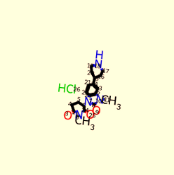 CN1C(=O)CCC(n2c(=O)n(C)c3cc(C4CCNCC4)ccc32)C1=O.Cl